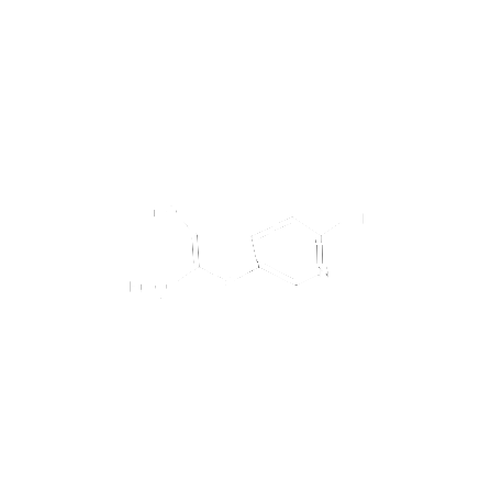 CCOC(=O)C(=CO)Oc1ccc(C)nc1